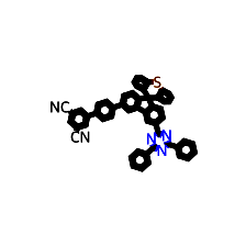 N#Cc1cc(C#N)cc(-c2ccc(-c3ccc4c(c3)-c3cc(-c5nc(-c6ccccc6)nc(-c6ccccc6)n5)ccc3C43c4ccccc4Sc4ccccc43)cc2)c1